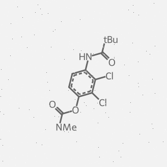 CNC(=O)Oc1ccc(NC(=O)C(C)(C)C)c(Cl)c1Cl